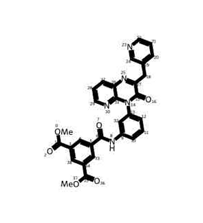 COC(=O)c1cc(C(=O)Nc2cccc(-n3c(=O)c(Cc4cccnc4)nc4cccnc43)c2)cc(C(=O)OC)c1